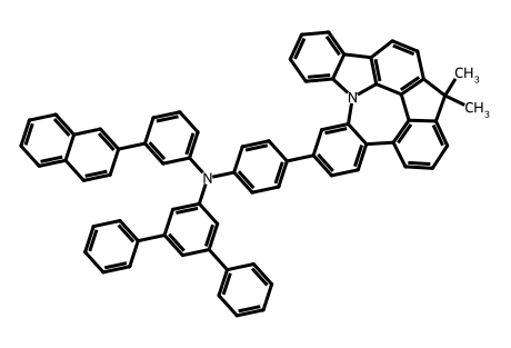 CC1(C)c2cccc3c2-c2c1ccc1c4ccccc4n(c21)-c1cc(-c2ccc(N(c4cccc(-c5ccc6ccccc6c5)c4)c4cc(-c5ccccc5)cc(-c5ccccc5)c4)cc2)ccc1-3